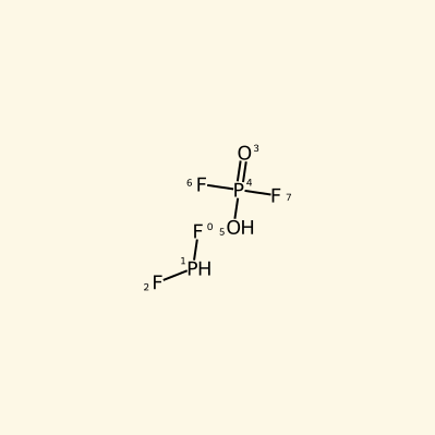 FPF.O=P(O)(F)F